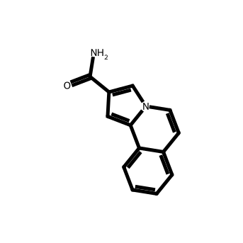 NC(=O)c1cc2c3ccccc3ccn2c1